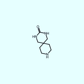 O=C1NCC2(CCNCC2)CN1